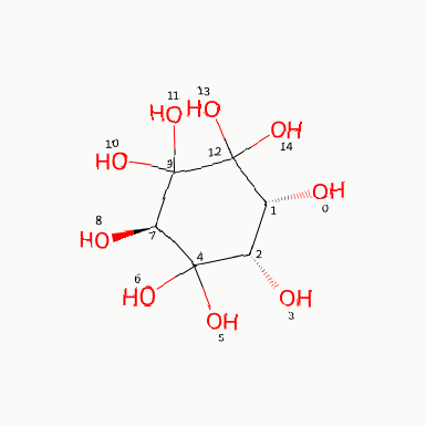 O[C@@H]1[C@H](O)C(O)(O)[C@@H](O)C(O)(O)C1(O)O